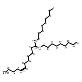 CCCCCCCCCOC(CCCCC/C=C\CCCCl)OCCCCCCCCC